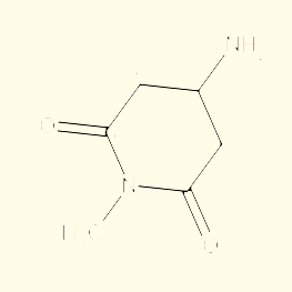 CN1C(=O)CC(N)CC1=O